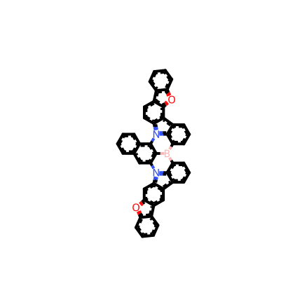 c1ccc2c3c4c(cc2c1)-n1c2cc5oc6ccccc6c5cc2c2cccc(c21)B4c1cccc2c4c5oc6ccccc6c5ccc4n-3c12